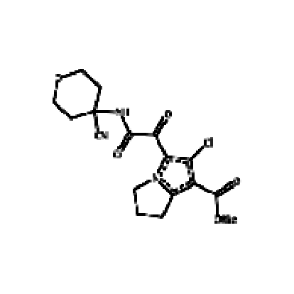 COC(=O)c1c(Cl)c(C(=O)C(=O)NC2(C#N)CCOCC2)n2c1CCC2